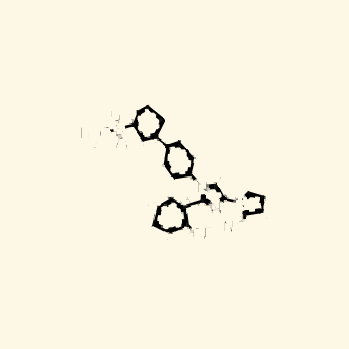 CS(=O)(=O)c1cccc(-c2ccc(-n3cc(-n4cccc4C#N)nc3-c3ccccc3C(F)(F)F)cc2)c1